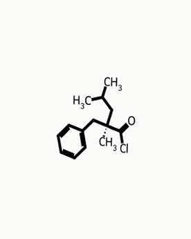 CC(C)C[C@](C)(Cc1ccccc1)C(=O)Cl